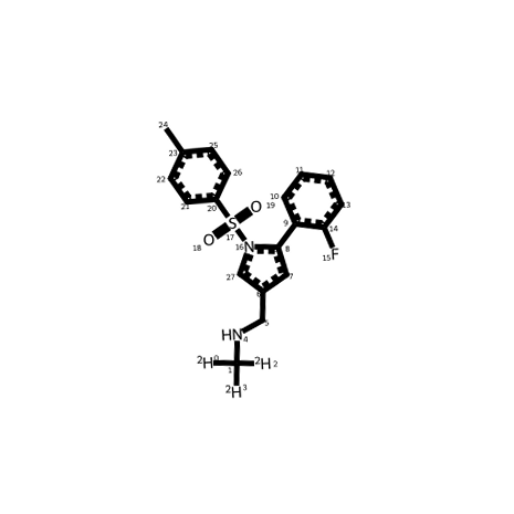 [2H]C([2H])([2H])NCc1cc(-c2ccccc2F)n(S(=O)(=O)c2ccc(C)cc2)c1